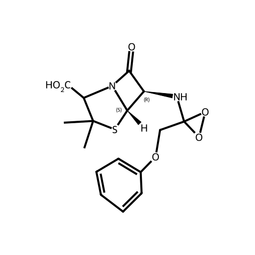 CC1(C)S[C@H]2[C@H](NC3(COc4ccccc4)OO3)C(=O)N2C1C(=O)O